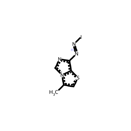 Cc1csc2c(/N=N/I)ncn12